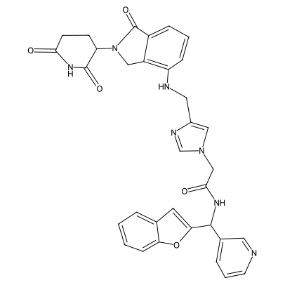 O=C1CCC(N2Cc3c(NCc4cn(CC(=O)NC(c5cccnc5)c5cc6ccccc6o5)cn4)cccc3C2=O)C(=O)N1